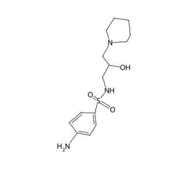 Nc1ccc(S(=O)(=O)NCC(O)CN2CCCCC2)cc1